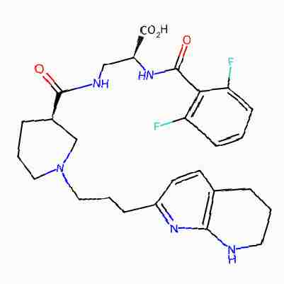 O=C(N[C@@H](CNC(=O)[C@@H]1CCCN(CCCc2ccc3c(n2)NCCC3)C1)C(=O)O)c1c(F)cccc1F